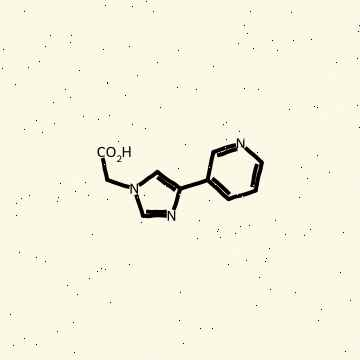 O=C(O)Cn1cnc(-c2cccnc2)c1